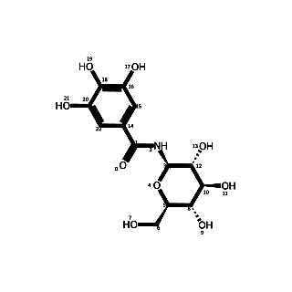 O=C(N[C@@H]1O[C@H](CO)[C@@H](O)[C@H](O)[C@H]1O)c1cc(O)c(O)c(O)c1